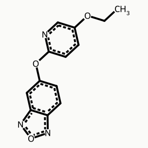 CCOc1ccc(Oc2ccc3nonc3c2)nc1